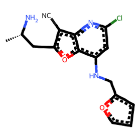 C[C@H](N)Cc1oc2c(NCc3ccco3)cc(Cl)nc2c1C#N